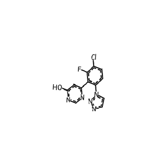 Oc1cc(-c2c(-n3ccnn3)ccc(Cl)c2F)ncn1